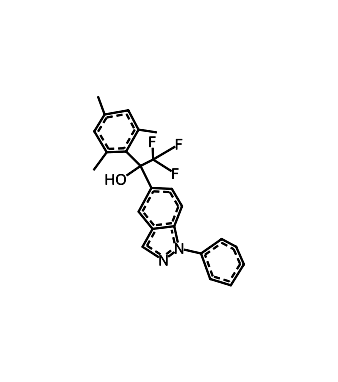 Cc1cc(C)c(C(O)(c2ccc3c(cnn3-c3ccccc3)c2)C(F)(F)F)c(C)c1